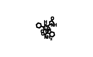 NC(=O)[C@@H](NC(=O)[C@@H](NC(=O)C1CC(=O)CN1)C1CCCCC1)C1CCCCC1